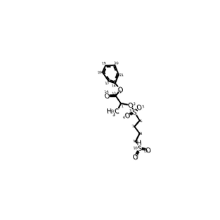 CC(OS(=O)(=O)CCCC[SH](=O)=O)C(=O)Oc1ccccc1